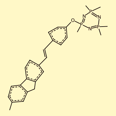 Cc1ccc2c(c1)Cc1cc(/C=C/c3ccc(OP4(C)=NP(C)(C)=NP(C)(C)=N4)cc3)ccc1-2